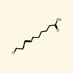 O=C(O)CCCCCC=CCCCl